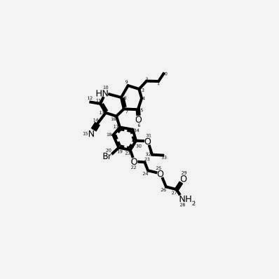 CCCC1CC(=O)C2=C(C1)NC(C)=C(C#N)C2c1cc(Br)c(OCCOCC(N)=O)c(OCC)c1